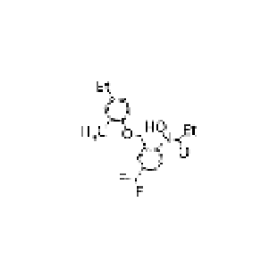 CCC(=O)N(O)c1ccc(C(F)F)cc1COc1ccc(CC)cc1C